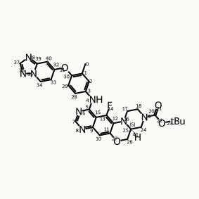 Cc1cc(Nc2ncnc3cc4c(c(F)c23)N2CCN(C(=O)OC(C)(C)C)C[C@H]2CO4)ccc1Oc1ccn2ncnc2c1